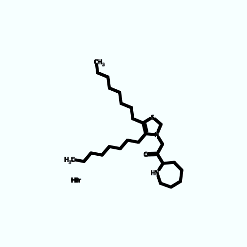 Br.CCCCCCCCC1=C(CCCCCCCC)N(CC(=O)C2CCCCCN2)CS1